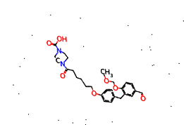 COCOc1ccc(C=O)cc1Cc1ccc(OCCCCCC(=O)N2CCN(C(=O)O)CC2)cc1